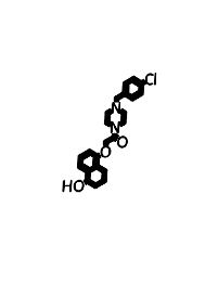 O=C(COc1cccc2c1CCCC2O)N1CCN(Cc2ccc(Cl)cc2)CC1